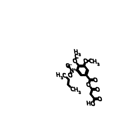 CCCC.COc1cc(C(=O)OC(=O)CC(=O)O)cc([N+](=O)[O-])c1OC